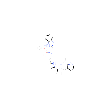 C=C(NCc1cccnc1C)c1csc(CCN(Cc2nc3ccccc3[nH]2)C(=O)OC(C)(C)C)n1